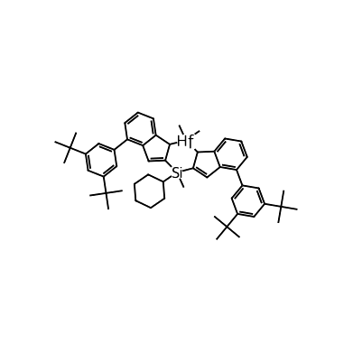 CC(C)(C)c1cc(-c2cccc3c2C=C2[CH]3[Hf]([CH3])([CH3])[CH]3C(=Cc4c(-c5cc(C(C)(C)C)cc(C(C)(C)C)c5)cccc43)[Si]2(C)C2CCCCC2)cc(C(C)(C)C)c1